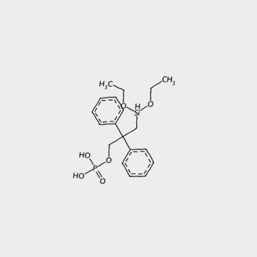 CCO[SiH](CC(COP(=O)(O)O)(c1ccccc1)c1ccccc1)OCC